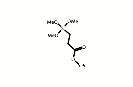 CCCOC(=O)CC[Si](OC)(OC)OC